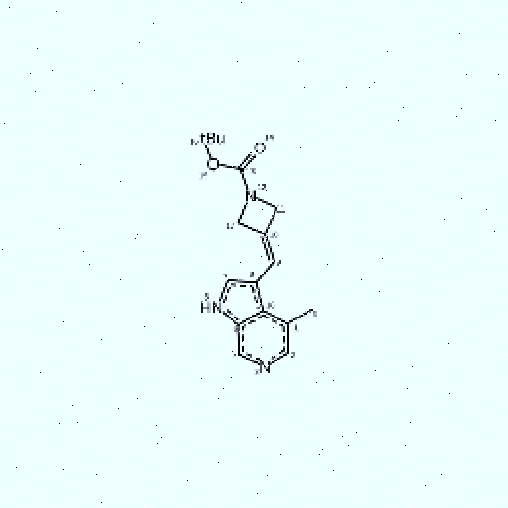 Cc1cncc2[nH]cc(C=C3CN(C(=O)OC(C)(C)C)C3)c12